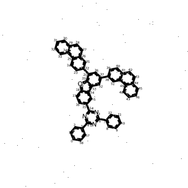 c1ccc(-c2nc(-c3ccccc3)nc(-c3ccc4oc5c(-c6ccc7c(ccc8ccccc87)c6)cc(-c6ccc7ccc8ccccc8c7c6)cc5c4c3)n2)cc1